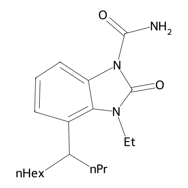 CCCCCCC(CCC)c1cccc2c1n(CC)c(=O)n2C(N)=O